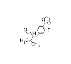 CC(C)C(Cc1ccc(C2OCCO2)c(F)c1)NC=O